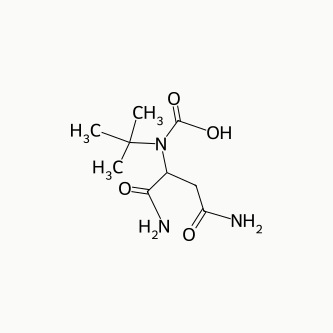 CC(C)(C)N(C(=O)O)C(CC(N)=O)C(N)=O